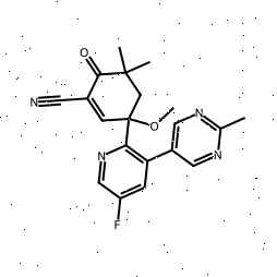 COC1(c2ncc(F)cc2-c2cnc(C)nc2)C=C(C#N)C(=O)C(C)(C)C1